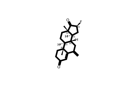 C=C1C[C@@H]2[C@H](CC[C@]3(C)C(=O)[C@@H](F)C[C@@H]23)[C@@]2(C)CCC(=O)C=C12